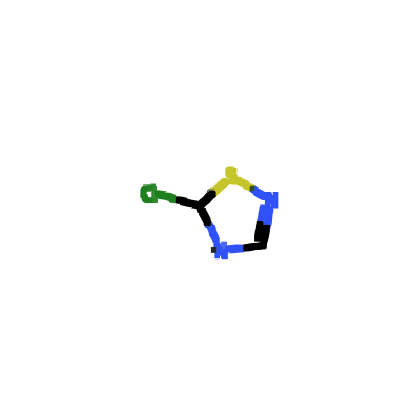 ClC1[N]C=NS1